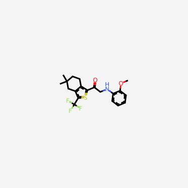 COc1ccccc1NCC(=O)c1sc(C(F)(F)F)c2c1CCC(C)(C)C2